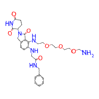 NCOCCOCCOCCNc1c(NCC(=O)NCc2ccccc2)ccc2c1C(=O)N(C1CCC(=O)NC1=O)C2